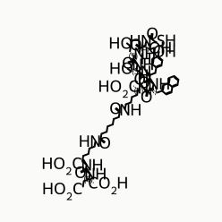 O=C(O)CC[C@H](NC(=O)NC(CCCCNC(=O)CCCCCCC(=O)NCCCC[C@@H](NC(=O)[C@@H](Cc1ccc2ccccc2c1)NC(=O)C(Cc1ccc(O)cc1)NC(=O)[C@H](CO)NC(=O)[C@H](CCO)NC(=O)[C@H](CO)NC(=O)CS)C(=O)O)C(=O)O)C(=O)O